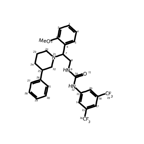 COc1ccccc1C(CNC(=O)Nc1cc(C(F)(F)F)cc(C(F)(F)F)c1)N1CCCC(c2ccccc2)C1